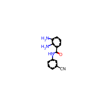 N#Cc1cccc(NC(=O)c2cccc(N)c2N)c1